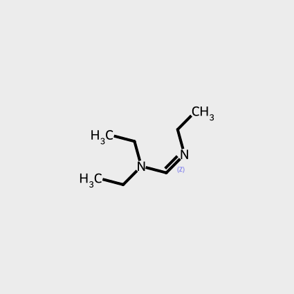 CC/N=C\N(CC)CC